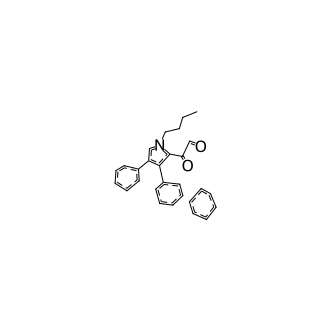 CCCCn1cc(-c2ccccc2)c(-c2ccccc2)c1C(=O)C=O.c1ccccc1